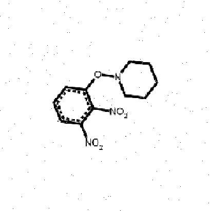 O=[N+]([O-])c1[c]ccc(ON2CCCCC2)c1[N+](=O)[O-]